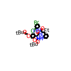 CC[C@H](c1ccccc1)[C@H](NC(=O)C(NC(=O)OC(C)(C)C)c1ccc(OCCOC(C)(C)C)cc1)C(=O)Nc1ccc(Br)cc1Cl